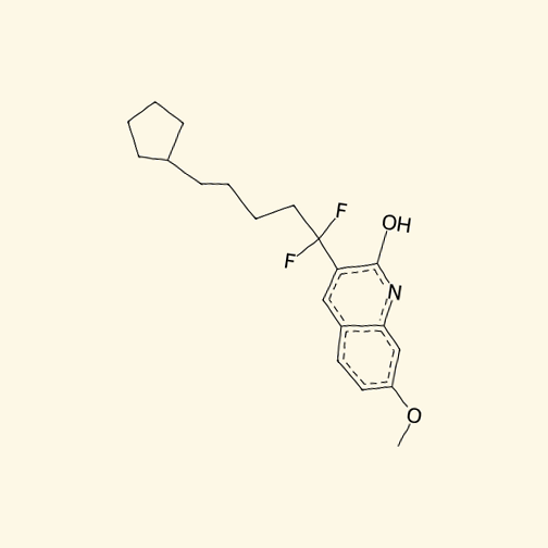 COc1ccc2cc(C(F)(F)CCCCC3CCCC3)c(O)nc2c1